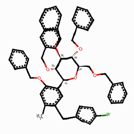 Cc1cc(OCc2ccccc2)c([C@@H]2O[C@H](COCc3ccccc3)[C@@H](OCc3ccccc3)[C@H](OCc3ccccc3)[C@H]2OCc2ccccc2)cc1Cc1ccc(Br)cc1